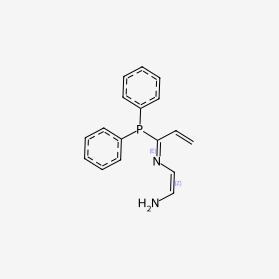 C=C/C(=N\C=C/N)P(c1ccccc1)c1ccccc1